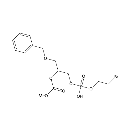 COC(=O)OC(COCc1ccccc1)COP(=O)(O)OCCBr